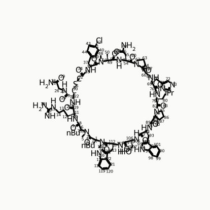 CCCC[C@H]1C(=O)N(C)[C@@H](CCCC)C(=O)N[C@@H](CCCNC(=N)N)C(=O)N[C@H](C(=O)NCC(N)=O)CSCC(=O)N[C@@H](Cc2ccc(Cl)cc2)C(=O)N(C)[C@@H](C)C(=O)N[C@@H](CC(N)=O)C(=O)N2CCC[C@H]2C(=O)N[C@@H](Cc2cnc[nH]2)C(=O)N[C@@H](CC(C)C)C(=O)N2CCC[C@H]2C(=O)N[C@@H](Cc2c[nH]c3ccccc23)C(=O)N[C@@H](CO)C(=O)N[C@@H](Cc2c[nH]c3ccccc23)C(=O)N1C